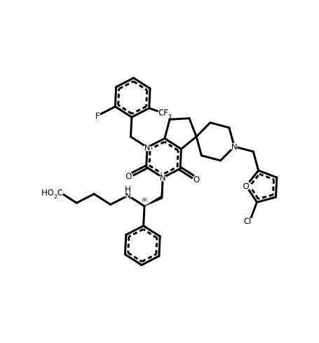 O=C(O)CCCN[C@@H](Cn1c(=O)c2c(n(Cc3c(F)cccc3C(F)(F)F)c1=O)CCC21CCN(Cc2ccc(Cl)o2)CC1)c1ccccc1